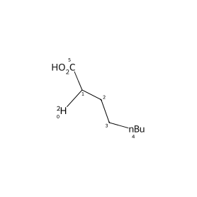 [2H]C(CCCCCC)C(=O)O